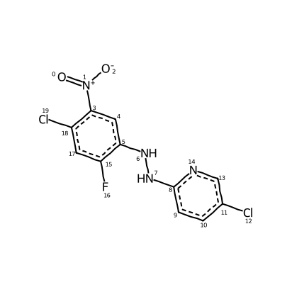 O=[N+]([O-])c1cc(NNc2ccc(Cl)cn2)c(F)cc1Cl